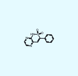 O=S1(=O)Nc2nccnc2C=C1c1ccccc1